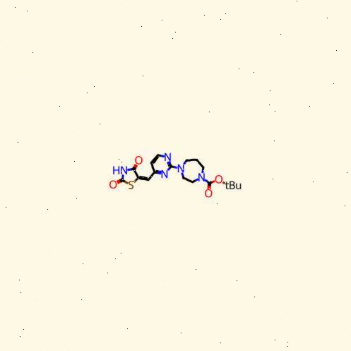 CC(C)(C)OC(=O)N1CCCN(c2nccc(C=C3SC(=O)NC3=O)n2)CC1